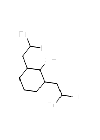 CCC(CC)CC1CCCC(CC(CC)CC)C1O